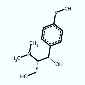 CSc1ccc([C@H](O)[C@H](CO)[N+](C)C)cc1